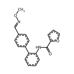 CO/N=C/c1ccc(-c2ccccc2NC(=O)c2ccco2)cc1